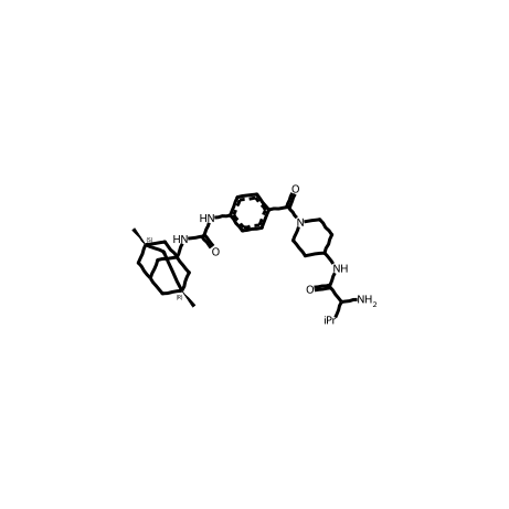 CC(C)C(N)C(=O)NC1CCN(C(=O)c2ccc(NC(=O)NC34CC5C[C@@](C)(C3)C[C@](C)(C5)C4)cc2)CC1